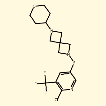 FC(F)(F)c1cc(SN2CC3(C2)CN(C2CCOCC2)C3)cnc1Cl